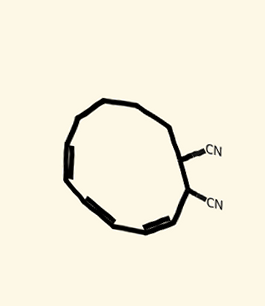 N#CC1C=CC=CC=CCCCCC1C#N